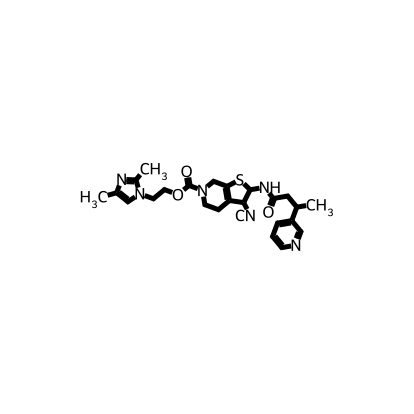 Cc1cn(CCOC(=O)N2CCC3=C(C2)SC(NC(=O)CC(C)c2cccnc2)C3C#N)c(C)n1